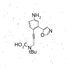 CC(C)(C)N(CC#Cc1ccc(N)cc1-c1cnco1)C(=O)O